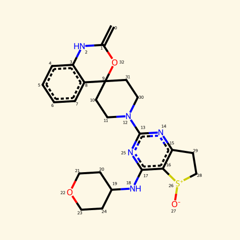 C=C1Nc2ccccc2C2(CCN(c3nc4c(c(NC5CCOCC5)n3)[S+]([O-])CC4)CC2)O1